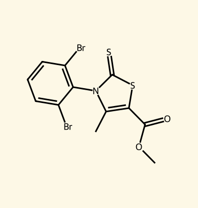 COC(=O)c1sc(=S)n(-c2c(Br)cccc2Br)c1C